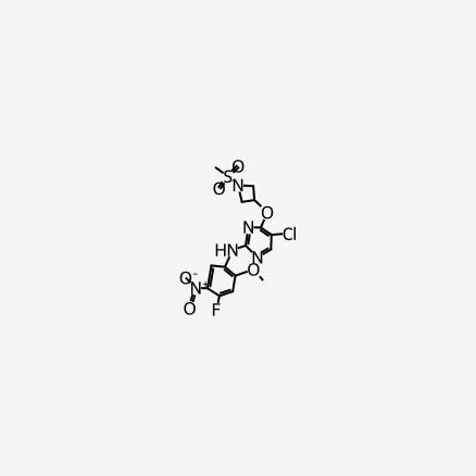 COc1cc(F)c([N+](=O)[O-])cc1Nc1ncc(Cl)c(OC2CN(S(C)(=O)=O)C2)n1